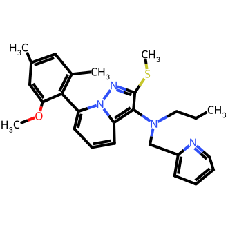 CCCN(Cc1ccccn1)c1c(SC)nn2c(-c3c(C)cc(C)cc3OC)cccc12